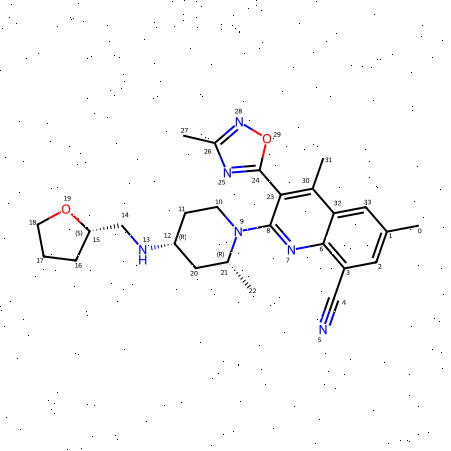 Cc1cc(C#N)c2nc(N3CC[C@@H](NC[C@@H]4CCCO4)C[C@H]3C)c(-c3nc(C)no3)c(C)c2c1